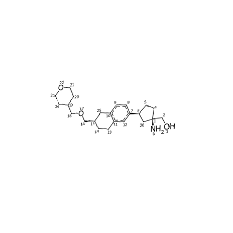 N[C@]1(CO)CC[C@H](c2ccc3c(c2)CC[C@@H](COCC2CCOCC2)C3)C1